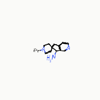 CC(C)N1CCC2(CC1)Cc1ccncc1[C@H]2N